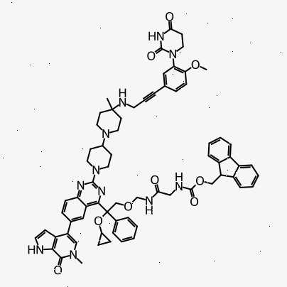 COc1ccc(C#CCNC2(C)CCN(C3CCN(c4nc(C(COCNC(=O)CNC(=O)OCC5c6ccccc6-c6ccccc65)(OC5CC5)c5ccccc5)c5cc(-c6cn(C)c(=O)c7[nH]ccc67)ccc5n4)CC3)CC2)cc1N1CCC(=O)NC1=O